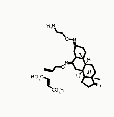 C=CCO/N=C1\C[C@@H]2[C@H](CC[C@]3(C)C(=O)CC[C@@H]23)[C@@]2(C)CC/C(=N/OCCN)CC12.O=C(O)/C=C/C(=O)O